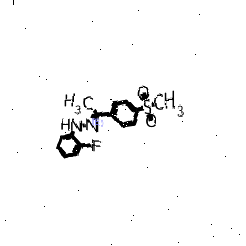 C/C(=N\Nc1ccccc1F)c1ccc(S(C)(=O)=O)cc1